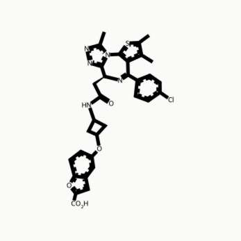 Cc1sc2c(c1C)C(c1ccc(Cl)cc1)=N[C@@H](CC(=O)NC1CC(Oc3ccc4oc(C(=O)O)cc4c3)C1)c1nnc(C)n1-2